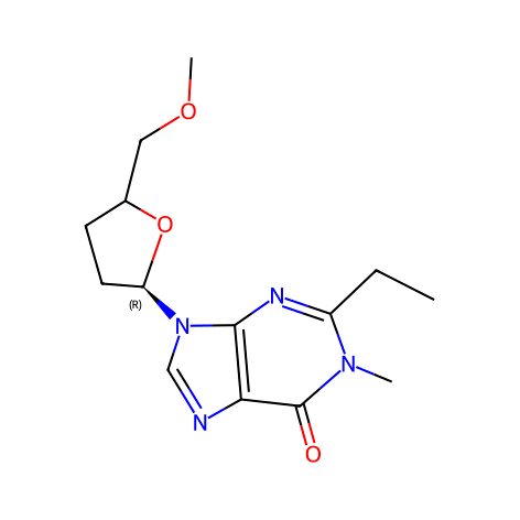 CCc1nc2c(ncn2[C@H]2CCC(COC)O2)c(=O)n1C